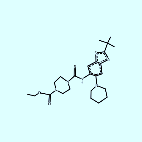 CCOC(=O)N1CCN(C(=S)Nc2cc3sc(C(C)(C)C)nc3cc2N2CCCCC2)CC1